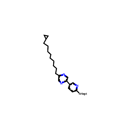 CCCCCCCc1ccc(-c2cnc(CCCCCCCCCC3CC3)cn2)cn1